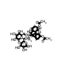 CC(=O)Oc1ccc2c3c1O[C@H]1[C@@H](OC(C)=O)C=C[C@H]4[C@@H](C2)N(C)CC[C@@]341.OC[C@H]1O[C@@H](O[C@H]2[C@H](O)[C@@H](O)[C@H](O)O[C@@H]2CO)[C@H](O)[C@@H](O)[C@H]1O